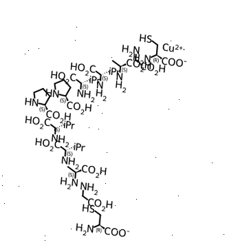 CC(C)[C@H](N)C(=O)O.CC(C)[C@H](N)C(=O)O.CC(C)[C@H](N)C(=O)O.CC(C)[C@H](N)C(=O)O.C[C@H](N)C(=O)O.C[C@H](N)C(=O)O.NCC(=O)O.NCC(=O)O.N[C@@H](CS)C(=O)[O-].N[C@@H](CS)C(=O)[O-].O=C(O)[C@@H]1CCCN1.O=C(O)[C@@H]1CCCN1.[Cu+2]